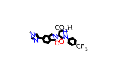 Cn1cnc(-c2ccc3c(c2)CN(C(CCC(=O)O)C(=O)Nc2ccc(C(F)(F)F)cc2)C3=O)c1